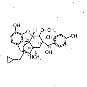 C=C[C@@]12C[C@](C)([C@@H](O)c3ccc(C)cc3)C(OC)[C@H]3Oc4c(O)ccc5c4[C@]31CCN(CC1CC1)[C@H]2C5